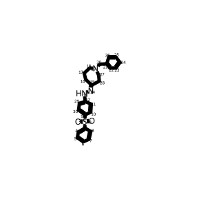 O=S(=O)(c1ccccc1)c1ccc(NN=C2CCCN(Cc3ccccc3)CC2)cc1